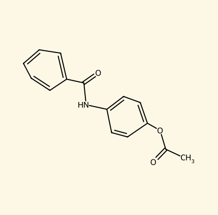 CC(=O)Oc1ccc(NC(=O)c2ccccc2)cc1